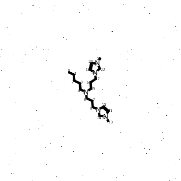 CCCCCN(CCCN1C=CN(C)C1)CCCN1C=CN(C)C1